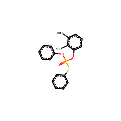 CCCCc1cccc(OP(=O)(Oc2ccccc2)Sc2ccccc2)c1CCCC